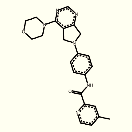 Cc1ccnc(C(=O)Nc2ccc(N3Cc4ncnc(N5CCOCC5)c4C3)cc2)c1